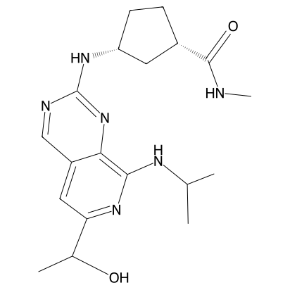 CNC(=O)[C@H]1CC[C@@H](Nc2ncc3cc(C(C)O)nc(NC(C)C)c3n2)C1